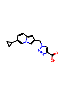 O=C(O)c1cn(Cc2cc3ccc(C4CC4)cn3c2)nn1